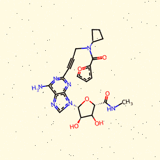 CNC(=O)[C@H]1O[C@@H](n2cnc3c(N)nc(C#CCN(C(=O)c4ccco4)C4CCC4)nc32)[C@H](O)C1O